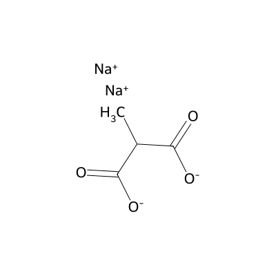 CC(C(=O)[O-])C(=O)[O-].[Na+].[Na+]